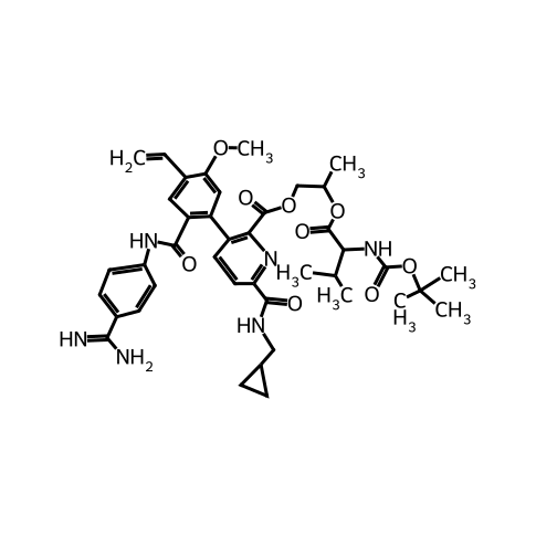 C=Cc1cc(C(=O)Nc2ccc(C(=N)N)cc2)c(-c2ccc(C(=O)NCC3CC3)nc2C(=O)OCC(C)OC(=O)C(NC(=O)OC(C)(C)C)C(C)C)cc1OC